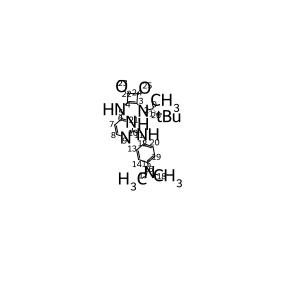 C[C@@H](Nc1c(Nc2ccnc(Nc3ccc(N(C)C)cc3)n2)c(=O)c1=O)C(C)(C)C